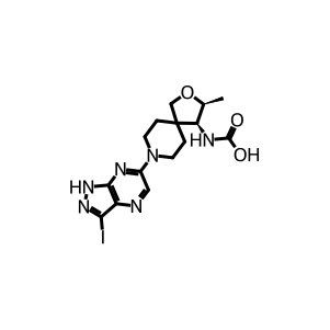 C[C@@H]1OCC2(CCN(c3cnc4c(I)n[nH]c4n3)CC2)[C@@H]1NC(=O)O